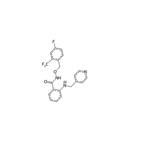 O=C(NOCc1ccc(F)cc1C(F)(F)F)c1ccccc1NCc1ccncc1